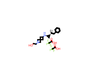 CC/C(=C\c1ccccc1)[C@@H]1C[C@H]1NC1CC2(C1)CN(CCO)C2.O=C(O)C(F)(F)F.O=C(O)C(F)(F)F